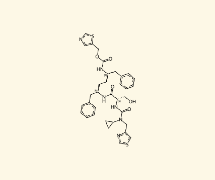 O=C(N[C@H](CC[C@H](Cc1ccccc1)NC(=O)[C@H](CO)NC(=O)N(Cc1cscn1)C1CC1)Cc1ccccc1)OCc1cncs1